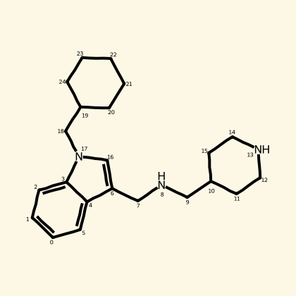 c1ccc2c(c1)c(CNCC1CCNCC1)cn2CC1CCCCC1